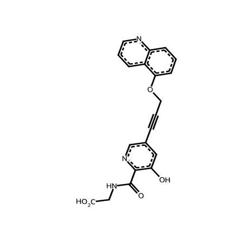 O=C(O)CNC(=O)c1ncc(C#CCOc2cccc3ncccc23)cc1O